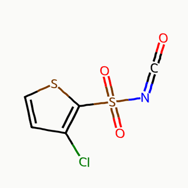 O=C=NS(=O)(=O)c1sccc1Cl